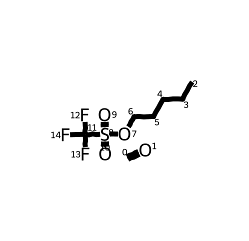 C=O.CCCCCOS(=O)(=O)C(F)(F)F